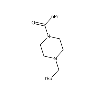 CCCC(=O)N1CCN(CC(C)(C)C)CC1